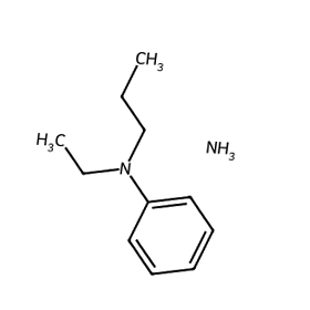 CCCN(CC)c1ccccc1.N